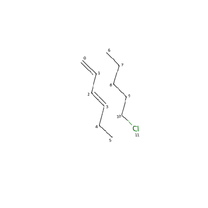 C=CC=CCC.CCCCCCl